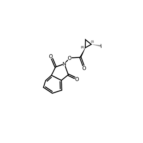 O=C(ON1C(=O)c2ccccc2C1=O)[C@H]1C[C@@H]1I